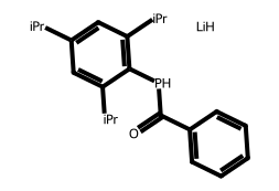 CC(C)c1cc(C(C)C)c(PC(=O)c2ccccc2)c(C(C)C)c1.[LiH]